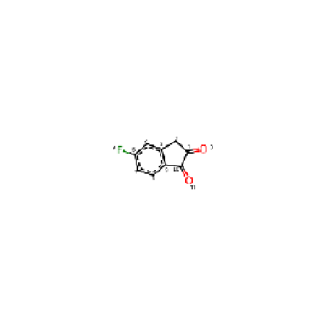 O=C1Cc2cc(F)ccc2C1=O